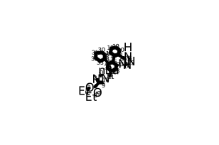 CCCCc1nc(C(OCC)OCC)cn1Cc1ccc(-c2ccccc2-c2nnn[nH]2)c(-c2ccccc2)c1